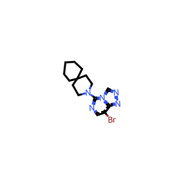 Brc1cnc(N2CCC3(CCCCC3)CC2)n2cnnc12